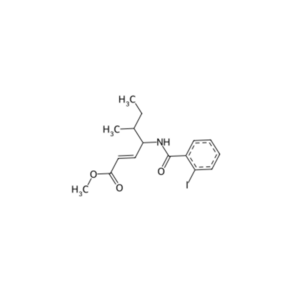 CCC(C)C(C=CC(=O)OC)NC(=O)c1ccccc1I